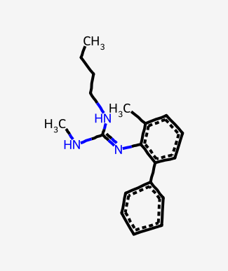 CCCCN/C(=N\c1c(C)cccc1-c1ccccc1)NC